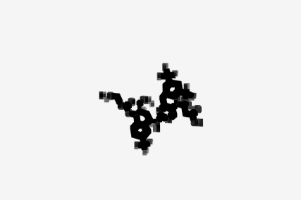 CCOC(=O)ON1c2ccc(C(F)(F)F)cc2[C@@H](Nc2ncc(NC(C)CC(=O)O)c(Cc3cc(C(F)(F)F)cc(C(F)(F)F)c3)n2)C[C@H]1CC